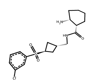 N[C@@H]1CCCC[C@@H]1C(=O)NC[C@H]1C[C@H](S(=O)(=O)c2cccc(Cl)c2)C1